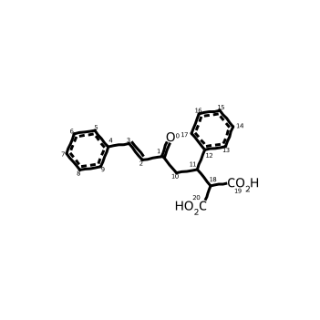 O=C(/C=C/c1ccccc1)CC(c1ccccc1)C(C(=O)O)C(=O)O